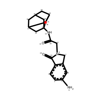 Nc1ccc2c(c1)CN(CC(=O)NC13CC4CC(CC(C4)O1)C3)C2=O